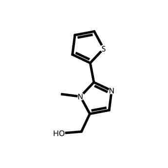 Cn1c(CO)cnc1-c1cccs1